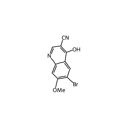 COc1cc2ncc(C#N)c(O)c2cc1Br